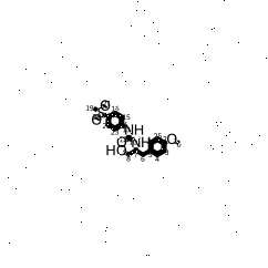 COc1ccc(CC(CO)NC(=O)Nc2ccc(S(C)(=O)=O)cc2)cc1